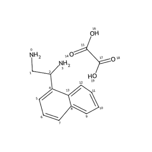 NCC(N)c1cccc2ccccc12.O=C(O)C(=O)O